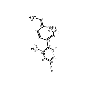 C\C=C(/C=C\C(=C/C)C(C)(C)C)c1ccc(F)cc1C